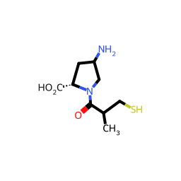 CC(CS)C(=O)N1CC(N)C[C@H]1C(=O)O